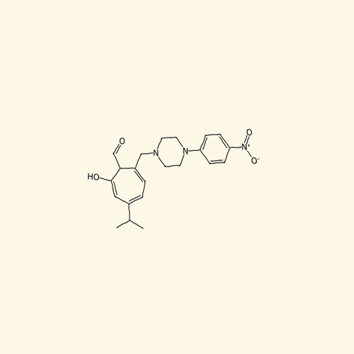 CC(C)C1=CC=C(CN2CCN(c3ccc([N+](=O)[O-])cc3)CC2)C(C=O)C(O)=C1